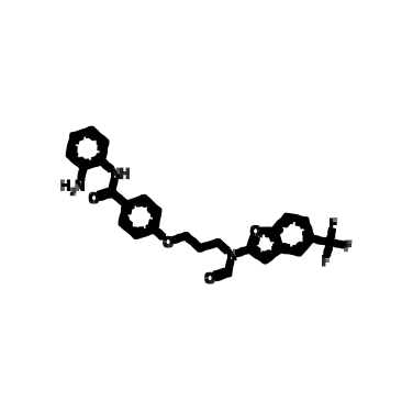 Nc1ccccc1NC(=O)c1ccc(OCCCN(C=O)c2cc3cc(C(F)(F)F)ccc3o2)cc1